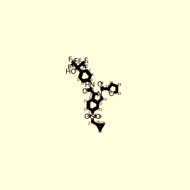 O=C(Nc1ccc(C(O)(C(F)(F)F)C(F)(F)F)cc1)C1c2ccc(S(=O)(=O)CC3CC3)cc2CN1C(=O)C1CCCO1